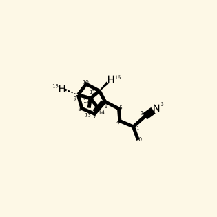 CC(C#N)CCC1=CC[C@H]2C[C@H]1C2(C)C